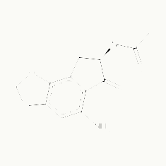 CC(=O)N[C@@H]1Cc2c3c(cc(N)c2C1=O)OCO3